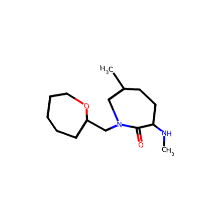 CNC1CCC(C)CN(CC2CCCCCO2)C1=O